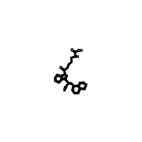 N#CC(=Cc1cccc2cnccc12)c1cn(C(=O)CCCCNC(=O)O)c2ccccc12